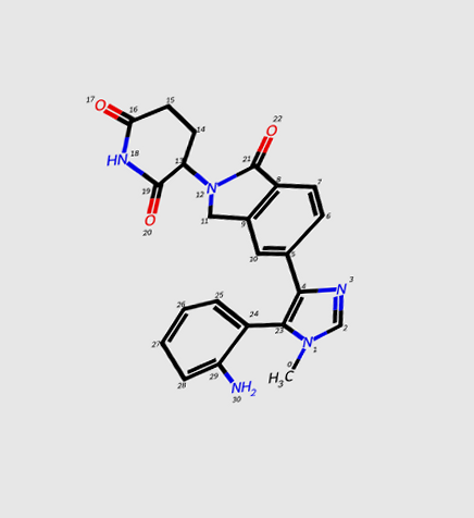 Cn1cnc(-c2ccc3c(c2)CN(C2CCC(=O)NC2=O)C3=O)c1-c1ccccc1N